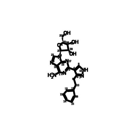 Nc1nc(-c2c[nH]nc2CCc2ccccc2)nc2c1ncn2[C@@H]1O[C@H](CO)[C@@H](O)[C@H]1O